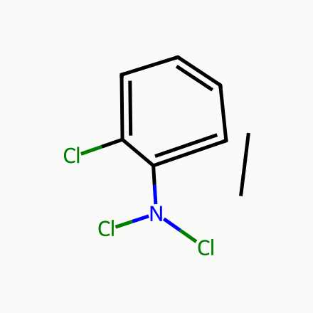 CC.Clc1ccccc1N(Cl)Cl